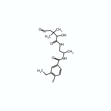 CCc1cc(C(=O)NC(C)CNC(=O)C(O)C(C)(C)CN=O)ccc1F